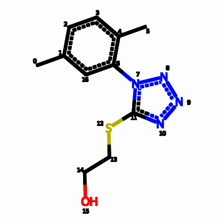 Cc1ccc(C)c(-n2nnnc2SCCO)c1